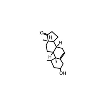 CC1CC(O)CC2=CC[C@@H]3[C@@H](CC[C@]4(C)C(=O)CC[C@@H]34)[C@]21C